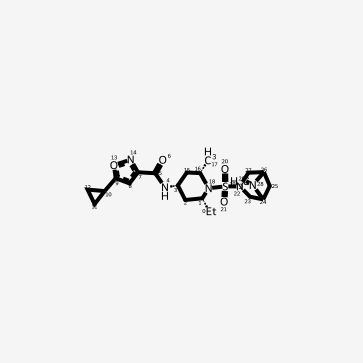 CC[C@@H]1C[C@H](NC(=O)c2cc(C3CC3)on2)C[C@H](C)N1S(=O)(=O)N1CC2CC(C1)N2C